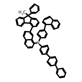 CC1(c2ccccc2)c2ccccc2-c2c(-c3ccc4cccc(N(c5ccc(-c6ccc(-c7ccccc7)cc6)cc5)c5ccc(-c6cccc7ccccc67)cc5)c4c3)cccc21